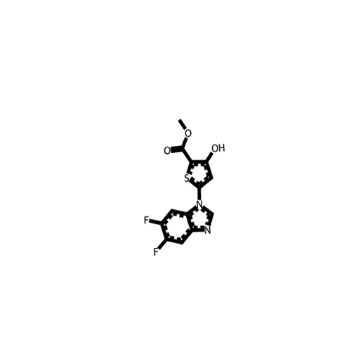 COC(=O)c1sc(-n2cnc3cc(F)c(F)cc32)cc1O